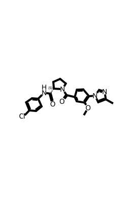 COc1cc(C(=O)N2CCC[C@H]2C(=O)Nc2ccc(Cl)cc2)ccc1-n1cnc(C)c1